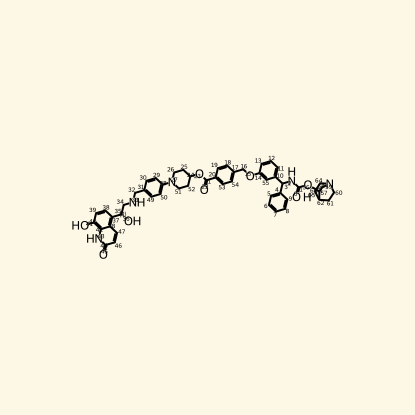 O=C(NC(c1ccccc1)c1cccc(OCc2ccc(C(=O)OC3CCN(c4ccc(CNC[C@H](O)c5ccc(O)c6[nH]c(=O)ccc56)cc4)CC3)cc2)c1)O[C@H]1CN2CCC1CC2